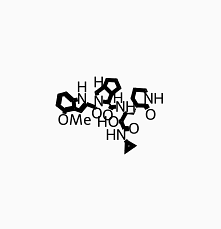 COc1cccc2[nH]c(C(=O)N3C[C@@H]4CCC[C@@H]4[C@H]3C(=O)N[C@@H](C[C@@H]3CCCNC3=O)C(O)C(=O)NC3CC3)cc12